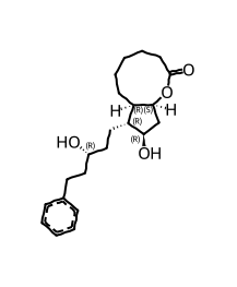 O=C1CCCCC[C@@H]2[C@@H](CC[C@@H](O)CCc3ccccc3)[C@H](O)C[C@@H]2O1